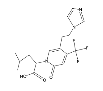 CC(C)CC(C(=O)O)n1cc(CCn2ccnc2)c(C(F)(F)F)cc1=O